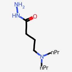 CCCN(CCC)CCCC(=O)NN